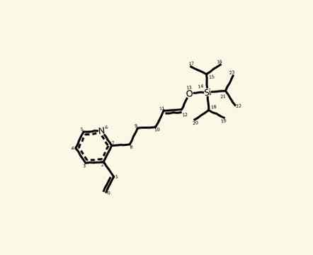 C=Cc1cccnc1CCCC=CO[Si](C(C)C)(C(C)C)C(C)C